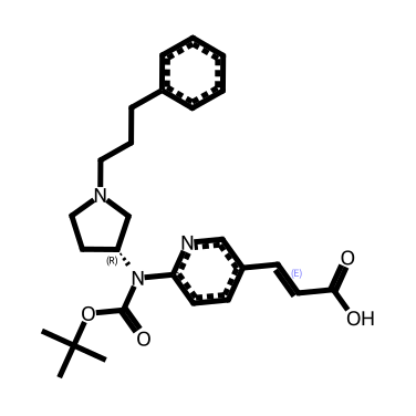 CC(C)(C)OC(=O)N(c1ccc(/C=C/C(=O)O)cn1)[C@@H]1CCN(CCCc2ccccc2)C1